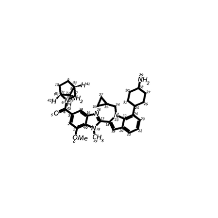 COc1cc(C(=O)N2C[C@H]3CC[C@@H]2[C@@H]3N)cc2nc(-c3cc4cccc(C5CCC(N)CC5)c4n3CC3CC3)n(C)c12